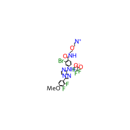 COc1ccc(-c2cnc3c(Nc4ccc(C(=O)NCCOCC[N+](C)(C)C)c(Br)c4)nccn23)c(F)c1F.O=C([O-])C(F)(F)F